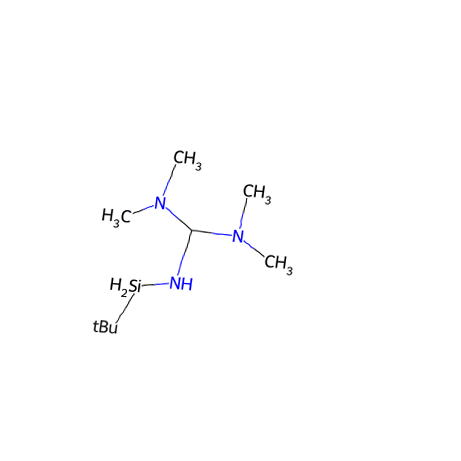 CN(C)C(N[SiH2]C(C)(C)C)N(C)C